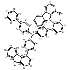 Fc1cccc2c3ccccc3n(-c3ccccc3-c3ccc(N(c4ccc(-c5ccccc5)cc4)c4ccc(-c5cccc6oc7ccccc7c56)cc4)cc3)c12